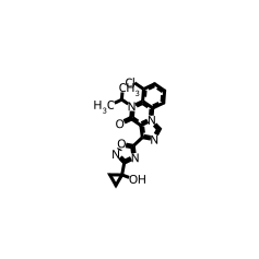 CC(C)n1c(=O)c2c(-c3nc(C4(O)CC4)no3)ncn2c2cccc(Cl)c21